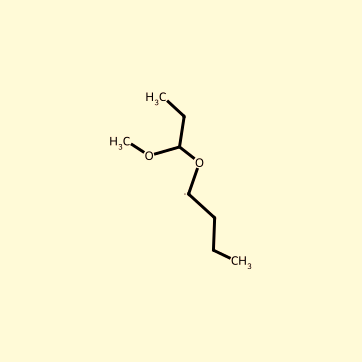 CCC[CH]OC(CC)OC